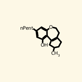 CCCCCc1cc(O)c2c(c1)OCCC1=C2CC(C)CC1